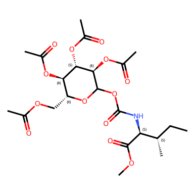 CC[C@H](C)[C@H](NC(=O)OC1O[C@H](COC(C)=O)[C@@H](OC(C)=O)[C@H](OC(C)=O)[C@H]1OC(C)=O)C(=O)OC